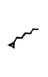 CCCCCCC1=CC1